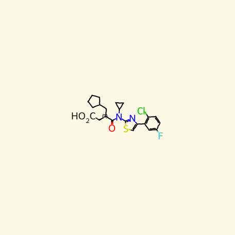 O=C(O)C[C@@H](CC1CCCC1)C(=O)N(c1nc(-c2cc(F)ccc2Cl)cs1)C1CC1